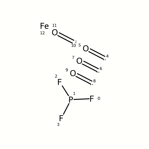 FP(F)F.[C]=O.[C]=O.[C]=O.[C]=O.[Fe]